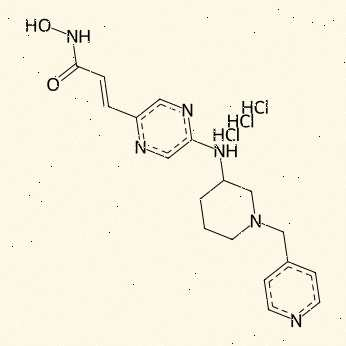 Cl.Cl.Cl.O=C(/C=C/c1cnc(NC2CCCN(Cc3ccncc3)C2)cn1)NO